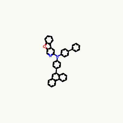 c1ccc(-c2ccc(N(c3ccc(-c4cc5ccccc5c5ccccc45)cc3)c3cc4c(cn3)oc3ccccc34)cc2)cc1